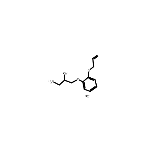 C=CCOc1ccccc1OCC(O)CN.Cl